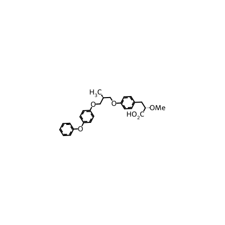 CO[C@@H](Cc1ccc(OC[C@H](C)COc2ccc(Oc3ccccc3)cc2)cc1)C(=O)O